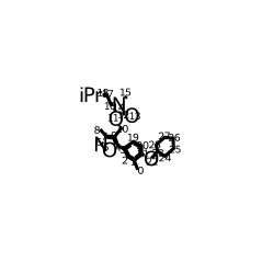 Cc1cc(-c2onc(C)c2COC(=O)N(C)CCC(C)C)ccc1OC1CCCCC1